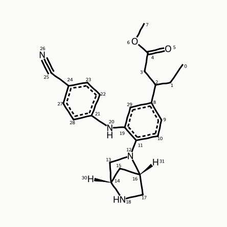 CCC(CC(=O)OC)c1ccc(N2C[C@@H]3C[C@H]2CN3)c(Nc2ccc(C#N)cc2)c1